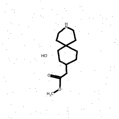 COC(=O)CC1CCC2(CCNCC2)CC1.Cl